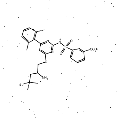 CCC(C)(C)CC(N)COc1cc(-c2c(C)cccc2C)nc(NS(=O)(=O)c2cccc(C(=O)O)c2)n1